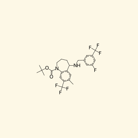 Cc1cc2c(cc1C(F)(F)F)N(C(=O)OC(C)(C)C)CCCC2NCc1cc(F)cc(C(F)(F)F)c1